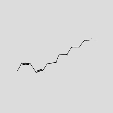 C/C=C\C=C/CCCCCCCO